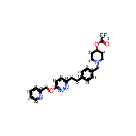 O=C(OC1CCN(Cc2ccc(CCc3ccc(OCc4ccccn4)nn3)cc2)CC1)C(F)(F)F